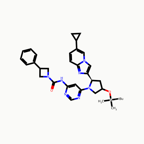 CC(C)(C)[Si](C)(C)OC1C[C@H](c2cn3cc(C4CC4)ccc3n2)N(c2cc(NC(=O)N3CC(c4ccccc4)C3)ncn2)C1